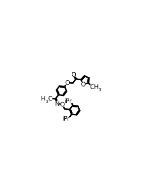 CC(=NOCc1c(C(C)C)cccc1C(C)C)c1ccc(OCC(=O)c2ccc(C)o2)cc1